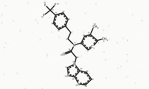 Cc1ccc(N(CCc2ccc(C(F)(F)F)cc2)C(=O)Cn2cnc3ncccc32)cc1C